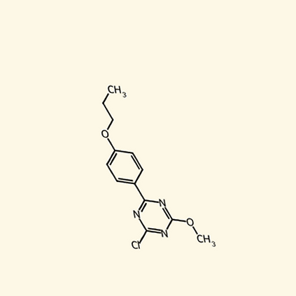 CCCOc1ccc(-c2nc(Cl)nc(OC)n2)cc1